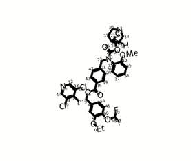 CCOc1cc([C@H](Cc2c(Cl)cncc2Cl)OC(=O)c2ccc(CN(C(=O)O[C@H]3CN4CCC3CC4)c3ccccc3OC)cc2)ccc1OC(F)F